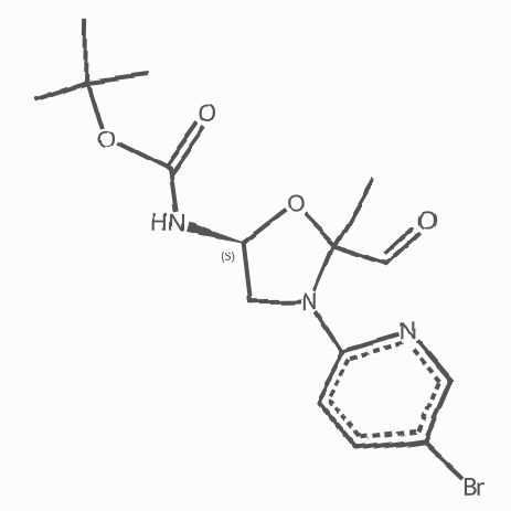 CC(C)(C)OC(=O)N[C@@H]1CN(c2ccc(Br)cn2)C(C)(C=O)O1